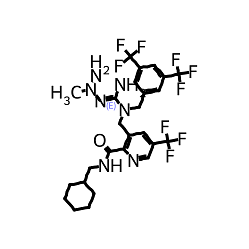 CN(N)/N=C(\N)N(Cc1cc(C(F)(F)F)cc(C(F)(F)F)c1)Cc1cc(C(F)(F)F)cnc1C(=O)NCC1CCCCC1